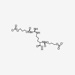 N=C(NCCCC(NC(=O)OCCCO[N+](=O)[O-])C(=O)O)NC(=O)OCCCO[N+](=O)[O-]